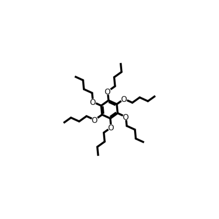 CCCCOc1c(OCCCC)c(OCCCC)c(OCCCC)c(OCCCC)c1OCCCC